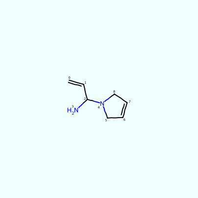 C=CC(N)N1CC=CC1